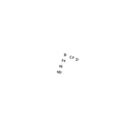 [B].[Co].[Fe].[Nb].[Ni].[Zr]